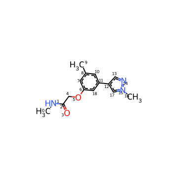 CNC(=O)COc1cc(C)cc(-c2cnn(C)c2)c1